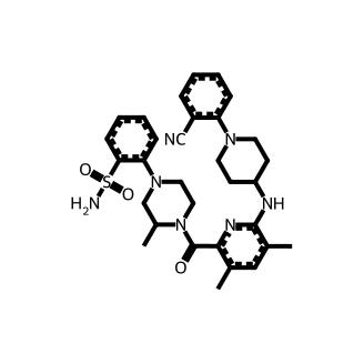 Cc1cc(C)c(C(=O)N2CCN(c3ccccc3S(N)(=O)=O)CC2C)nc1NC1CCN(c2ccccc2C#N)CC1